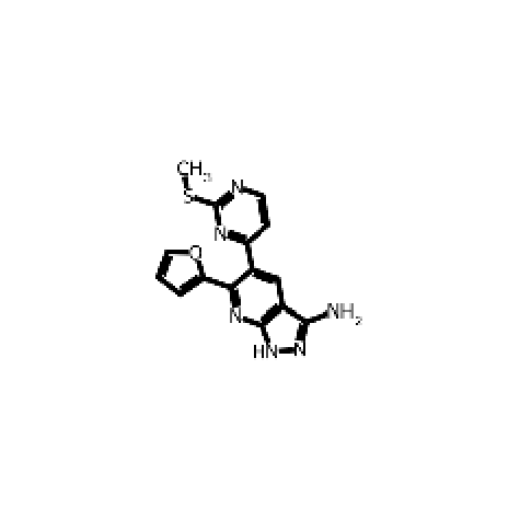 CSc1nccc(-c2cc3c(N)n[nH]c3nc2-c2ccco2)n1